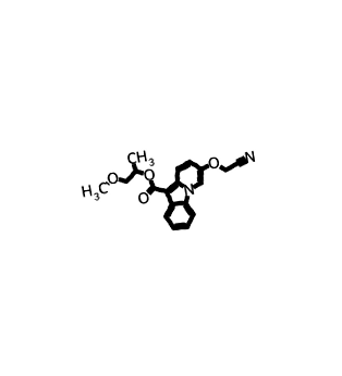 COCC(C)OC(=O)c1c2ccccc2n2cc(OCC#N)ccc12